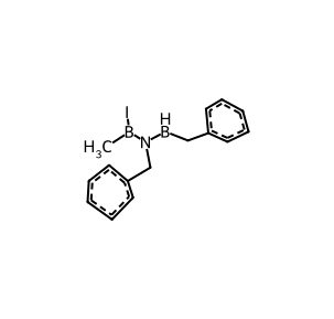 CB(I)N(BCc1ccccc1)Cc1ccccc1